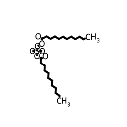 CCCCCCCCCCCC(=O)OOS(=O)(=O)OC(=O)CCCCCCCCCCC